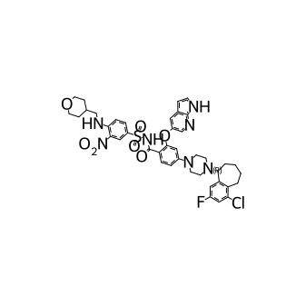 O=C(NS(=O)(=O)c1ccc(NCC2CCOCC2)c([N+](=O)[O-])c1)c1ccc(N2CCN([C@@H]3CCCCc4c(Cl)cc(F)cc43)CC2)cc1Oc1cnc2[nH]ccc2c1